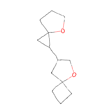 C1CC2(C1)CC(C1CC13CCCO3)CO2